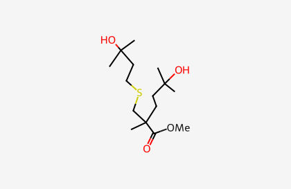 COC(=O)C(C)(CCC(C)(C)O)CSCCC(C)(C)O